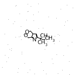 CCC(C)(C)C1=CC2COOCC2=N1